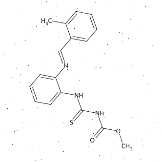 COC(=O)NC(=S)Nc1ccccc1/N=C/c1ccccc1C